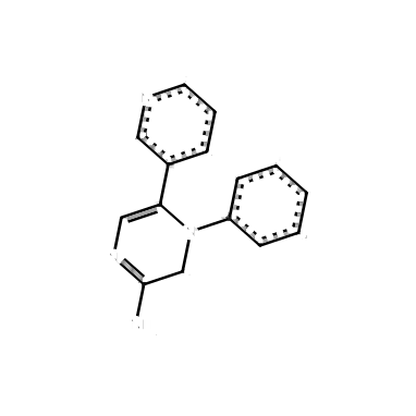 NC1=NC=C(c2cccnc2)N(c2ccccc2)C1